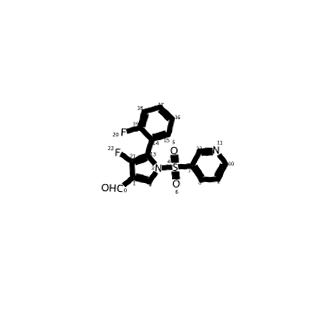 O=Cc1cn(S(=O)(=O)c2cccnc2)c(-c2ccccc2F)c1F